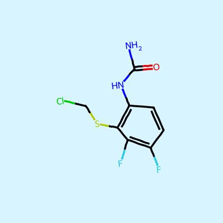 NC(=O)Nc1ccc(F)c(F)c1SCCl